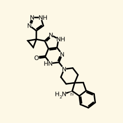 N[C@@H]1c2ccccc2CC12CCN(c1nc3[nH]nc(C4(c5c[nH]nn5)CC4)c3c(=O)[nH]1)CC2